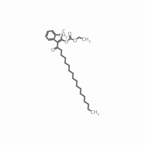 CCCCCCCCCCCCCCCCCC(=O)c1c(OC(=O)OCC)n(C)c2ccccc12